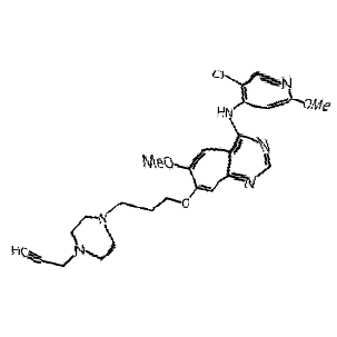 C#CCN1CCN(CCCOc2cc3ncnc(Nc4cc(OC)ncc4Cl)c3cc2OC)CC1